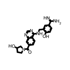 N=C(N)c1ccc(O)c(CNc2ncnc3cc(C(=O)N4CCC(O)C4)ccc23)c1